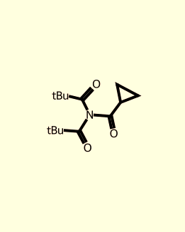 CC(C)(C)C(=O)N(C(=O)C1CC1)C(=O)C(C)(C)C